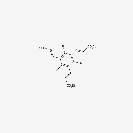 CCOC(=O)C=Cc1c(Br)c(C=CC(=O)OCC)c(Br)c(C=CC(=O)OCC)c1Br